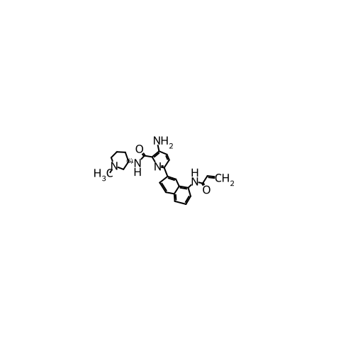 C=CC(=O)Nc1cccc2ccc(-c3ccc(N)c(C(=O)N[C@H]4CCCN(C)C4)n3)cc12